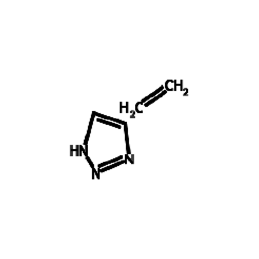 C=C.c1c[nH]nn1